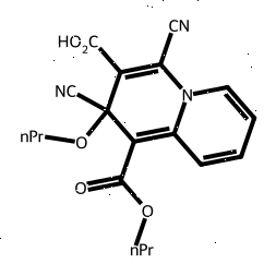 CCCOC(=O)C1=C2C=CC=CN2C(C#N)=C(C(=O)O)C1(C#N)OCCC